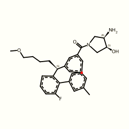 COCCCC[C@@H](c1cccc(C(=O)N2C[C@@H](N)[C@@H](O)C2)c1)c1cccc(F)c1-c1cccc(C)c1